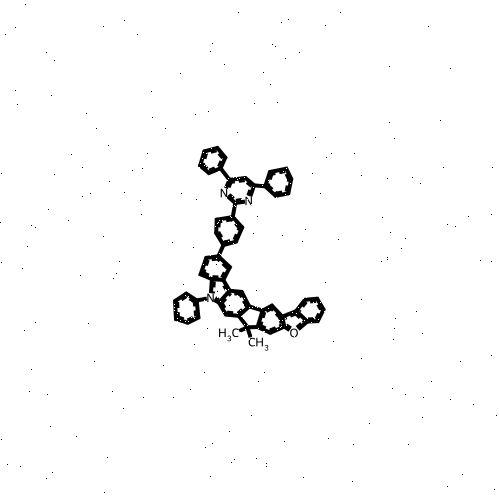 CC1(C)c2cc3oc4ccccc4c3cc2-c2cc3c4cc(-c5ccc(-c6nc(-c7ccccc7)cc(-c7ccccc7)n6)cc5)ccc4n(-c4ccccc4)c3cc21